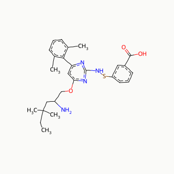 CCC(C)(C)CC(N)COc1cc(-c2c(C)cccc2C)nc(NSc2cccc(C(=O)O)c2)n1